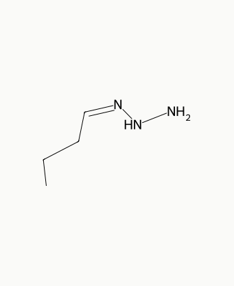 CCC/C=N\NN